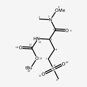 CON(C)C(=O)C(CCS(C)(=O)=O)NC(=O)OC(C)(C)C